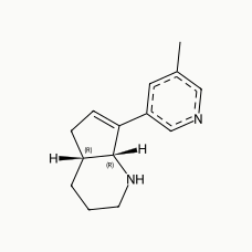 Cc1cncc(C2=CC[C@H]3CCCN[C@@H]23)c1